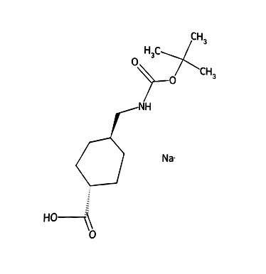 CC(C)(C)OC(=O)NC[C@H]1CC[C@H](C(=O)O)CC1.[Na]